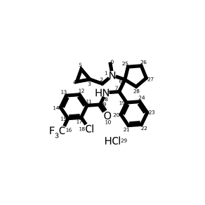 CN(CC1CC1)C1(C(NC(=O)c2cccc(C(F)(F)F)c2Cl)c2ccccc2)CCCC1.Cl